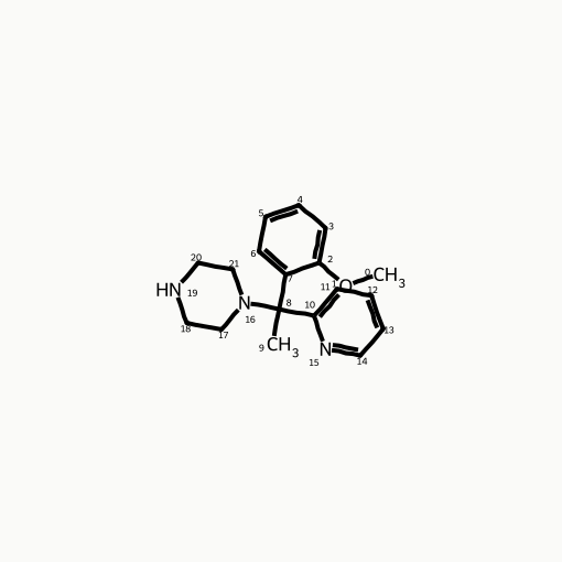 COc1ccccc1C(C)(c1ccccn1)N1CCNCC1